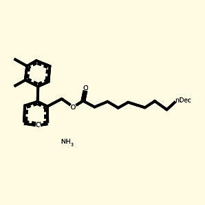 CCCCCCCCCCCCCCCCCC(=O)OCc1ccccc1-c1cccc(C)c1C.N